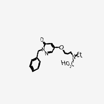 CCN(CCOc1cnn(Cc2ccccc2)c(=O)c1)C(=O)O